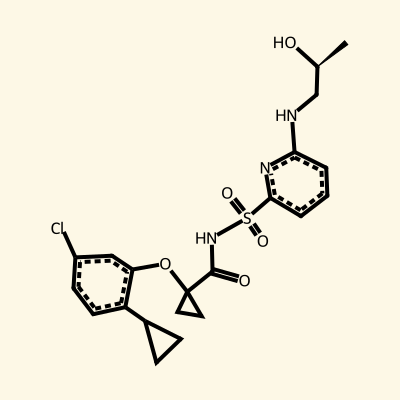 C[C@H](O)CNc1cccc(S(=O)(=O)NC(=O)C2(Oc3cc(Cl)ccc3C3CC3)CC2)n1